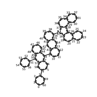 c1ccc(-c2ccc3c(-c4cccc5cc6c(-n7c8ccc9ccccc9c8c8c9ccccc9ccc87)cccc6cc45)c4ccccc4c(-c4ccccc4)c3c2)cc1